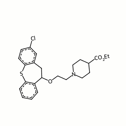 CCOC(=O)C1CCN(CCOC2Cc3cc(Cl)ccc3Sc3ccccc32)CC1